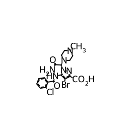 CN1CCN(C(C(N)=O)n2nc(C(=O)O)c(Br)c2NC(=O)c2ccccc2Cl)CC1